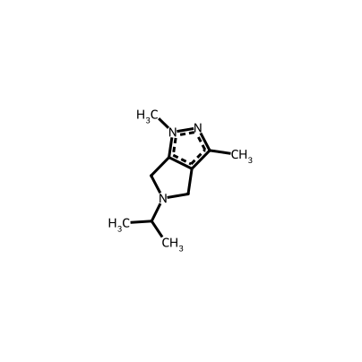 Cc1nn(C)c2c1CN(C(C)C)C2